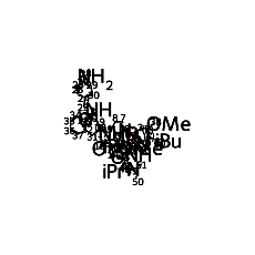 CC[C@H](C)[C@@H]([C@@H](CC(=O)N1CCC[C@H]1[C@H](OC)[C@@H](C)C(=O)N[C@@H](CC(=O)NCc1ccc(N)cc1)Cc1ccccc1)OC)N(C)C(=O)[C@@H](NC(=O)[C@H](C(C)C)N(C)C)C(C)C